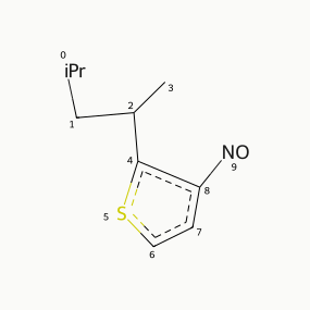 CC(C)CC(C)c1sccc1N=O